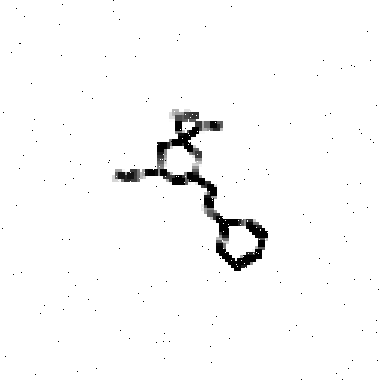 COC1=CC(OC)(OC)CC(C=Cc2ccccc2)=C1